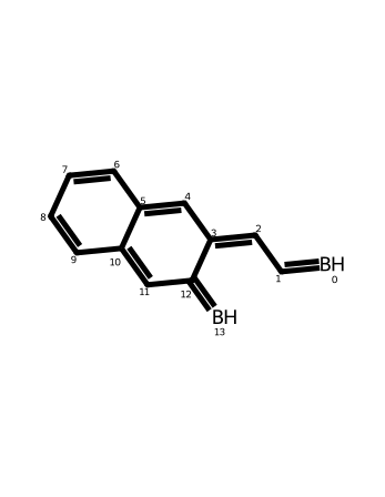 B=C/C=c1/cc2ccccc2cc1=B